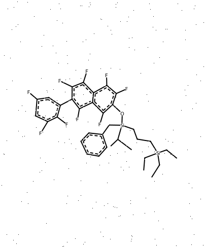 CC[Si](CC)(CC)CCC[Si](Cc1ccccc1)(Oc1c(F)c(F)c2c(F)c(F)c(-c3cc(F)[c]c(F)c3F)c(F)c2c1F)C(C)C